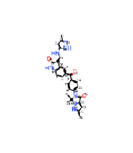 Cc1cc(N/C=C2\C(=O)Nc3ccc(C(=O)c4ccc(N5C(=O)c6cc(C)nn6C5(C)C)cc4)cc32)[nH]n1